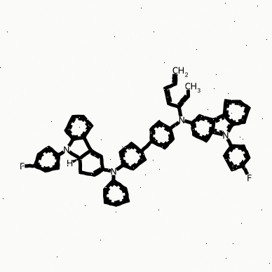 C=C/C=C\C(=C/C)N(c1ccc(-c2ccc(N(C3=CC[C@H]4C(=C3)c3ccccc3N4c3ccc(F)cc3)c3ccccc3)cc2)cc1)c1ccc2c(c1)c1ccccc1n2-c1ccc(F)cc1